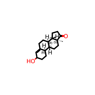 C[C@]12CC[C@H]3[C@@H](CCC4=CC(O)CC[C@@H]43)[C@@H]1CCC2=O